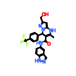 CC1=C(C(=O)Nc2ccc3[nH]ncc3c2)C(c2ccc(C(F)(F)F)cc2)n2nc(CO)cc2N1